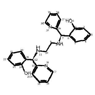 Oc1ccccc1[C@@H](NCCN[C@@H](c1ccccn1)c1ccccc1O)c1ccccn1